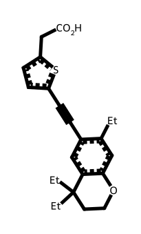 CCc1cc2c(cc1C#Cc1ccc(CC(=O)O)s1)C(CC)(CC)CCO2